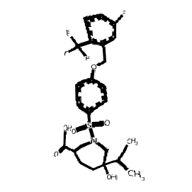 CC(C)C1(O)CCC(C(=O)O)N(S(=O)(=O)c2ccc(OCc3cc(F)ccc3C(F)(F)F)cc2)C1